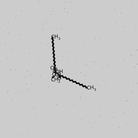 C=CCO[Si](O)(OOC(=O)CCCCCCCCCCCCCCCCC)OOC(=O)CCCCCCCCCCCCCCCCC